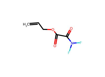 C=CCOC(=O)C(=O)N(F)F